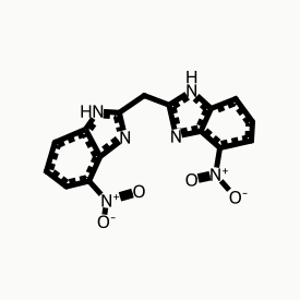 O=[N+]([O-])c1cccc2[nH]c(Cc3nc4c([N+](=O)[O-])cccc4[nH]3)nc12